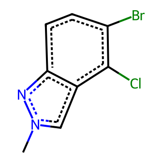 Cn1cc2c(Cl)c(Br)ccc2n1